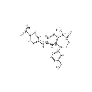 COc1cccc(N2CCC(=O)N(C)c3cnc(Nc4ccc(C(=O)O)cc4)nc32)c1